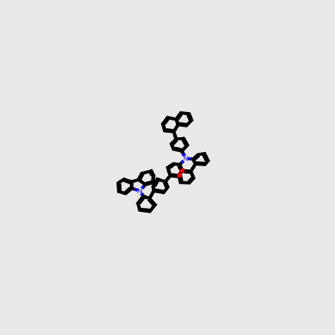 c1ccc(-c2ccccc2N(c2ccc(-c3ccc(-c4ccccc4-n4c5ccccc5c5ccccc54)cc3)cc2)c2ccc(-c3cccc4ccccc34)cc2)cc1